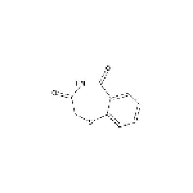 O=C1CSc2ccccc2C(=O)N1